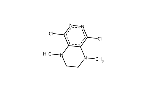 CN1CCN(C)c2c(Cl)nnc(Cl)c21